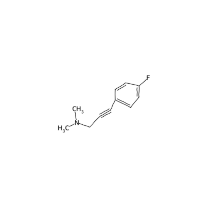 CN(C)CC#Cc1ccc(F)cc1